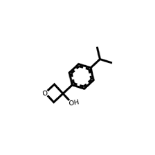 CC(C)c1ccc(C2(O)COC2)cc1